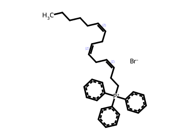 CCCCC/C=C\C/C=C\C/C=C\CC[P+](c1ccccc1)(c1ccccc1)c1ccccc1.[Br-]